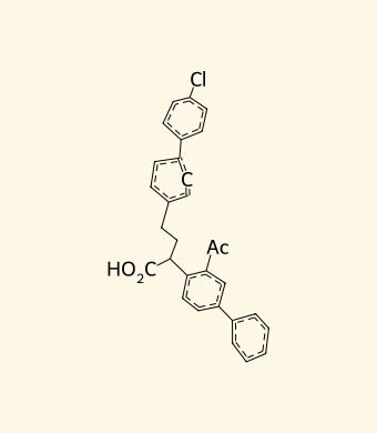 CC(=O)c1cc(-c2ccccc2)ccc1C(CCc1ccc(-c2ccc(Cl)cc2)cc1)C(=O)O